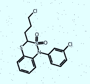 O=S1(=O)C(CCCCl)Sc2ccccc2N1c1cccc(Cl)c1